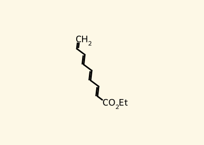 C=CC=CC=CC=CC(=O)OCC